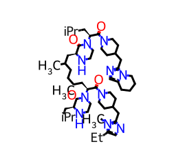 CCc1cnc(CC2CCN(C(=O)[C@H](CC(C)CCC(C)C[C@@H]3NCCN([C@@H](CC(C)C)C(=O)N4CCC(Cc5ncc6n5CCCC6)CC4)C3=O)N3CCN[C@@H](CC(C)C)C3=O)CC2)n1C